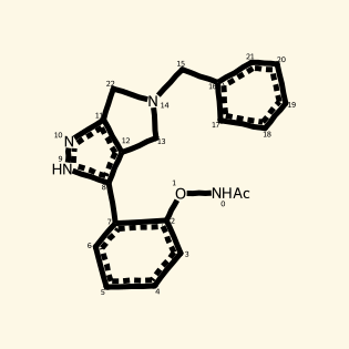 CC(=O)NOc1ccccc1-c1[nH]nc2c1CN(Cc1ccccc1)C2